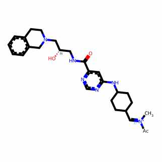 CC(=O)/[N+](C)=C/C1CCC(Nc2cc(C(=O)NC[C@H](O)CN3CCc4ccccc4C3)ncn2)CC1